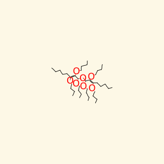 CCCCCC(OCCCC)=C(OCCCC)C(OCCCC)OC(OCCCC)C(OCCCC)=C(CCCCC)OCCCC